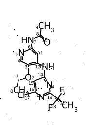 CCOc1cnc(NC(C)=O)cc1Nc1cc(Cl)nc(C(C)(F)F)n1